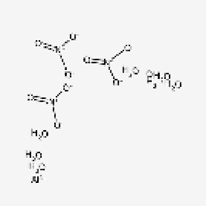 O.O.O.O.O.O.O.O=[N+]([O-])[O-].O=[N+]([O-])[O-].O=[N+]([O-])[O-].[Al+3]